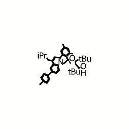 Cc1ccc(-c2ccc3c(c2)C(CC(C)C)=CC2c4cc(C)cc(C)c4[C@](C)(OC(CC(O)C(C)(C)C)C(C)(C)C)CN32)cc1